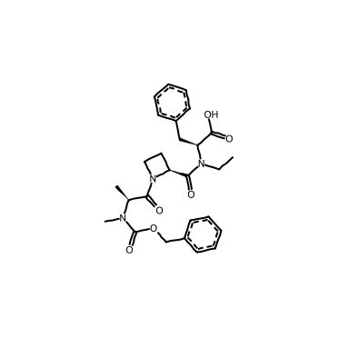 CCN(C(=O)[C@@H]1CCN1C(=O)[C@H](C)N(C)C(=O)OCc1ccccc1)[C@@H](Cc1ccccc1)C(=O)O